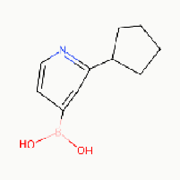 OB(O)c1ccnc(C2CCCC2)c1